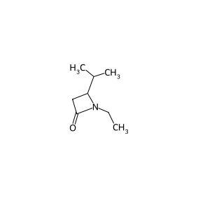 CCN1C(=O)CC1C(C)C